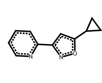 c1ccc(-c2cc(C3CC3)on2)nc1